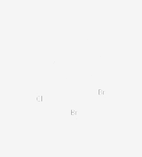 ClC(Br)c1ccccc1Br